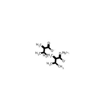 C=C(C(=O)[O-])C(C)C.C=C(C(=O)[O-])C(C)C.[Pb+2]